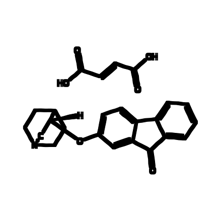 O=C(O)C=CC(=O)O.O=C1c2ccccc2-c2ccc(O[C@@H]3CN4CCC3CC4)cc21